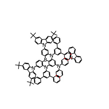 CC(C)(C)c1ccc2c(c1)c1cc(C(C)(C)C)ccc1n2-c1ccc2c(c1)N(c1cc(-c3ccccc3)cc(-c3ccccc3)c1)c1cc(N(c3ccccc3)c3ccc(-n4c5ccccc5c5ccccc54)cc3)cc3c1B2c1ccc(-n2c4ccc(C(C)(C)C)cc4c4cc(C(C)(C)C)ccc42)cc1N3c1cc(-c2ccccc2)cc(-c2ccccc2)c1